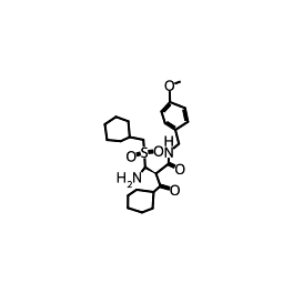 COc1ccc(CNC(=O)[C@@H](C(=O)C2CCCCC2)C(N)S(=O)(=O)CC2CCCCC2)cc1